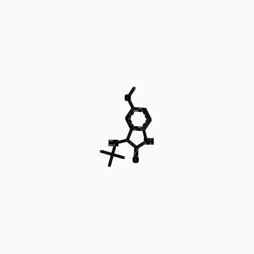 COc1ccc2c(c1)C(NC(C)(C)C)C(=O)N2